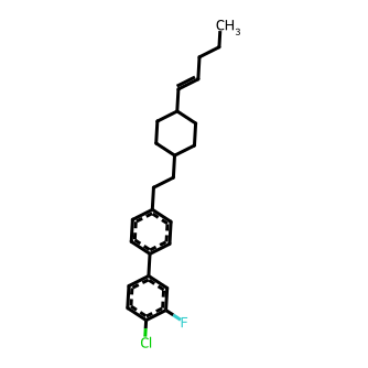 CCCC=CC1CCC(CCc2ccc(-c3ccc(Cl)c(F)c3)cc2)CC1